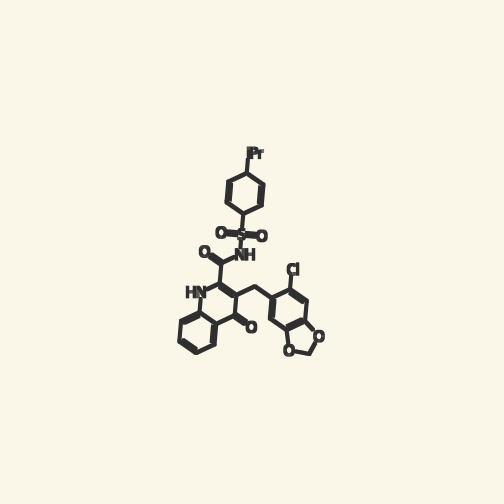 CC(C)C1C=CC(S(=O)(=O)NC(=O)c2[nH]c3ccccc3c(=O)c2Cc2cc3c(cc2Cl)OCO3)C=C1